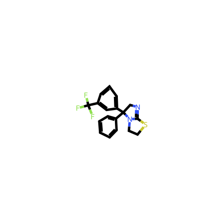 FC(F)(F)c1cccc(C2(c3ccccc3)CN=C3SCCN32)c1